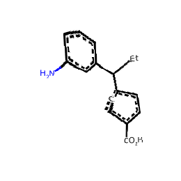 CCC(c1ccc(C(=O)O)cc1)c1cccc(N)c1